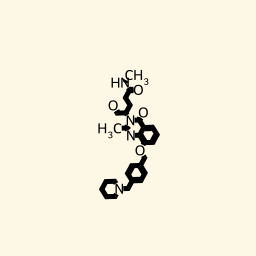 CNC(=O)CCC(C=O)n1c(C)nc2c(OCc3ccc(CN4CCCCC4)cc3)cccc2c1=O